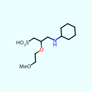 COCCOC(CNC1CCCCC1)CS(=O)(=O)O